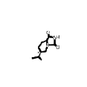 CC(C)[C@H]1CCC2C(=O)NC(=O)N2C1